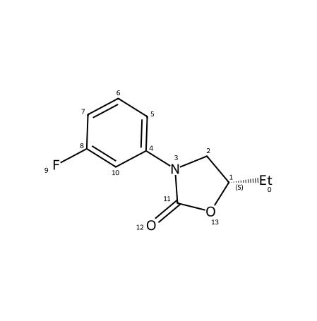 CC[C@H]1CN(c2cccc(F)c2)C(=O)O1